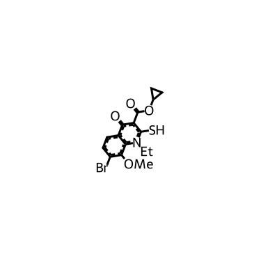 CCn1c(S)c(C(=O)OC2CC2)c(=O)c2ccc(Br)c(OC)c21